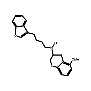 CCN(CCCCc1coc2ccccc12)C1COc2cccc(OC)c2C1